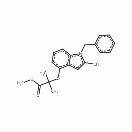 COC(=O)C(C)(C)Oc1cccc2c1cc(C)n2Cc1ccccc1